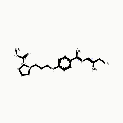 CC/C(C)=C/N=C(\C)c1ccc(OCCCN2CCC[C@H]2C(=O)OC)cc1